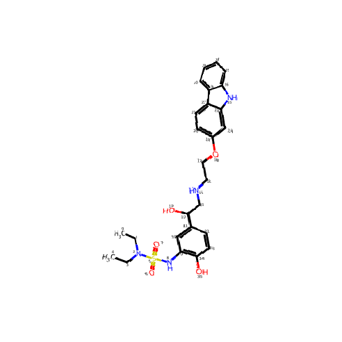 CCN(CC)S(=O)(=O)Nc1cc(C(O)CNCCOc2ccc3c(c2)[nH]c2ccccc23)ccc1O